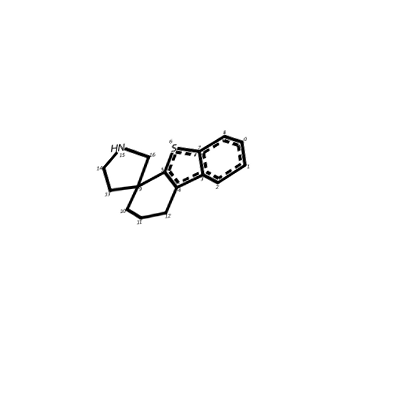 c1ccc2c3c(sc2c1)C1(CCC3)CCNC1